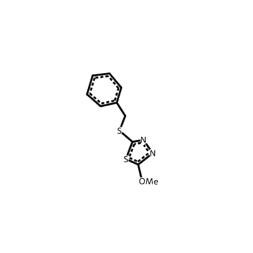 COc1nnc(SCc2ccccc2)s1